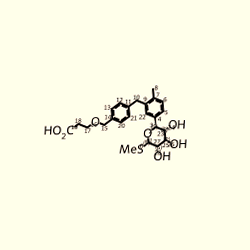 CS[C@H]1O[C@@H](c2ccc(C)c(Cc3ccc(COCCC(=O)O)cc3)c2)[C@H](O)[C@@H](O)[C@@H]1O